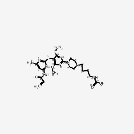 C=CC(=O)Nc1cc(N)nc(Sc2c(OC)nc(N3CCN(CCCCNC(=O)O)CC3)nc2OC)n1